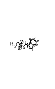 CS(=O)(=O)CCn1[c]cc2ccccc21